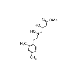 COC(=O)CC(O)CN(O)CCc1ccc(C)cc1C